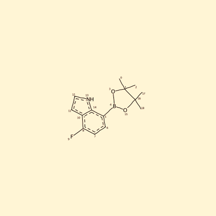 CC1(C)OB(c2ccc(F)c3cc[nH]c23)OC1(C)C